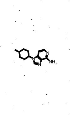 CC1CCC(n2cnc3c(N)nccc32)CC1